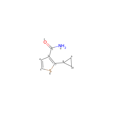 NC(=O)c1ccsc1C1CC1